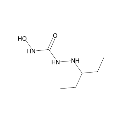 CCC(CC)NNC(=O)NO